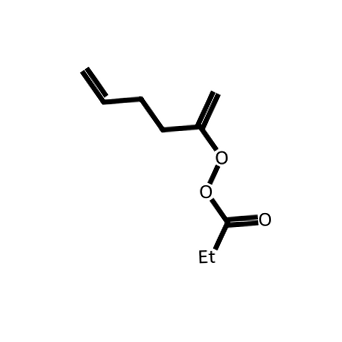 C=CCCC(=C)OOC(=O)CC